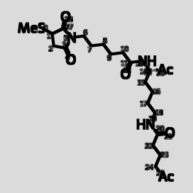 CSC1CC(=O)N(CCCCCC(=O)N[C@@H](CCCCNC(=O)CCCC(C)=O)C(C)=O)C1=O